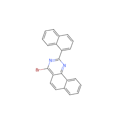 Brc1nc(-c2cccc3ccccc23)nc2c1ccc1ccccc12